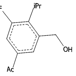 CC(=O)c1cc(F)c(C(C)C)c(CO)c1